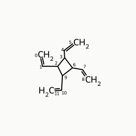 C=CC1C(C=C)C(C=C)C1C=C